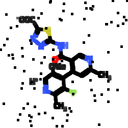 COc1cnc(C)c(F)c1-c1cc(C)ncc1C(=O)Nc1nnc(C(=O)[O-])s1.[Li+]